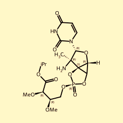 CO[C@H](CO[P@]1(=O)OC2[C@H]3O[C@@H](n4ccc(=O)[nH]c4=O)[C@](C)(N)[C@@]23O1)[C@@H](OC)C(=O)OC(C)C